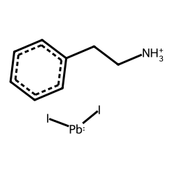 [I][Pb][I].[NH3+]CCc1ccccc1